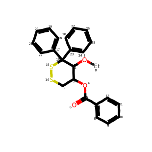 CCOC1C(OC(=O)c2ccccc2)CSSC1(c1ccccc1)c1ccccc1